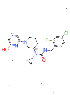 O=C(NCc1ccc(Cl)cc1F)N(C1CC1)[C@@H]1CCCN(c2cncc(O)n2)C1